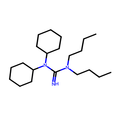 CCCCN(CCCC)C(=N)N(C1CCCCC1)C1CCCCC1